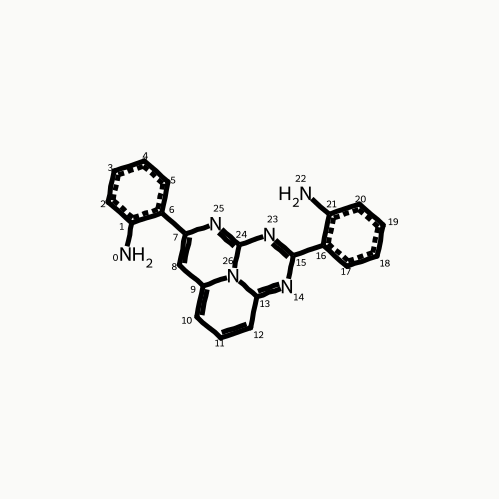 Nc1ccccc1C1=CC2=CC=CC3=NC(c4ccccc4N)=NC(=N1)N23